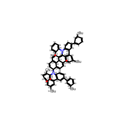 CC(C)(C)c1cccc(-c2ccc(N(C3=C4C=CC5=C6C(=CC=C(C=C3)C46)C(N(c3ccccc3C#N)c3ccc(-c4cccc(C(C)(C)C)c4)cc3-c3cccc(C(C)(C)C)c3)C=C5)c3ccccc3C#N)c(-c3cccc(C(C)(C)C)c3)c2)c1